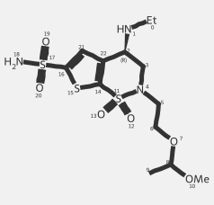 CCN[C@H]1CN(CCOC(C)OC)S(=O)(=O)c2sc(S(N)(=O)=O)cc21